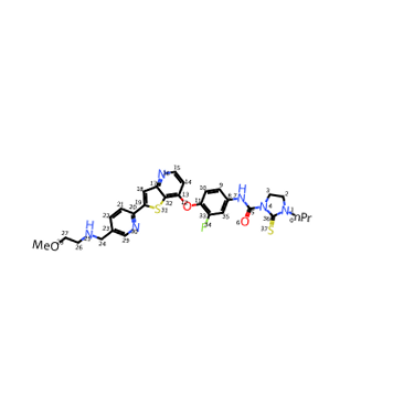 CCCN1CCN(C(=O)Nc2ccc(Oc3ccnc4cc(-c5ccc(CNCCOC)cn5)sc34)c(F)c2)C1=S